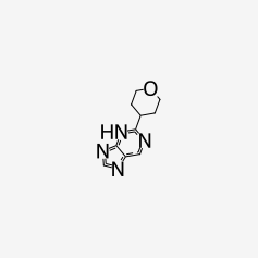 c1nc2cnc(C3CCOCC3)[nH]c-2n1